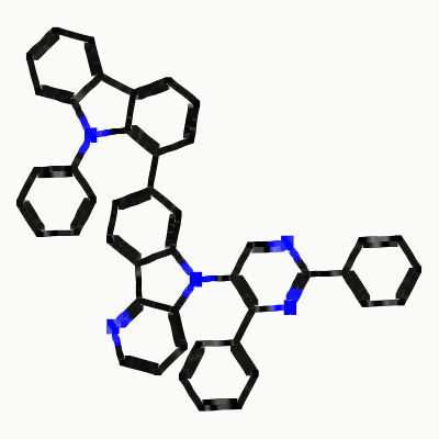 c1ccc(-c2ncc(-n3c4cc(-c5cccc6c7ccccc7n(-c7ccccc7)c56)ccc4c4ncccc43)c(-c3ccccc3)n2)cc1